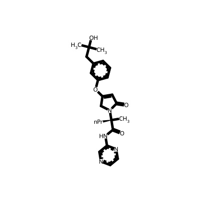 CCC[C@@](C)(C(=O)Nc1cnccn1)N1CC(Oc2cccc(CC(C)(C)O)c2)=CC1=O